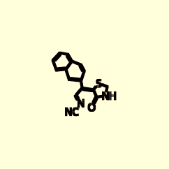 N#CN=CC(=C1SCNC1=O)c1ccc2ccccc2c1